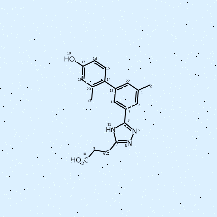 Cc1cc(-c2nnc(SCC(=O)O)[nH]2)cc(-c2ccc(O)cc2C)c1